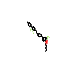 C=CCCCOc1ccc(C2CCC(CCc3ccc(C4CCC(C)CC4)c(F)c3F)CC2)cc1F